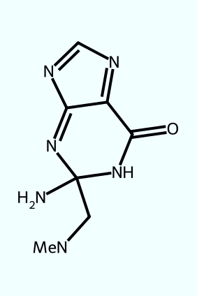 CNCC1(N)N=C2N=CN=C2C(=O)N1